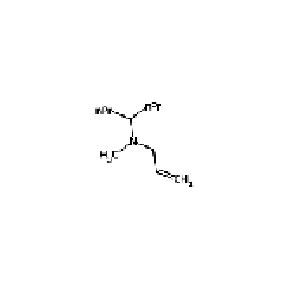 C=CCN(C)C(CCC)CCC